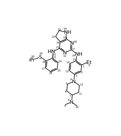 CCc1cc(N2CCC(N(C)C)CC2)ccc1Nc1nc2c(c(Nc3ccccc3SC(C)C)n1)CCN2